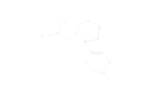 CN(C)CC1CCCCC1(O)c1ccc(Cl)nc1